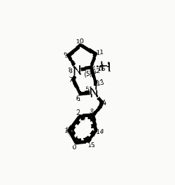 c1ccc(CN2CCN3CCC[C@H]3C2)cc1